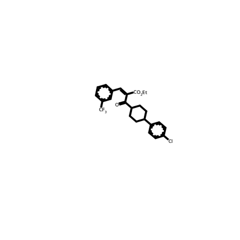 CCOC(=O)C(=Cc1cccc(C(F)(F)F)c1)C(=O)C1CCC(c2ccc(Cl)cc2)CC1